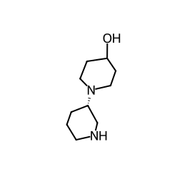 OC1CCN([C@H]2CCCNC2)CC1